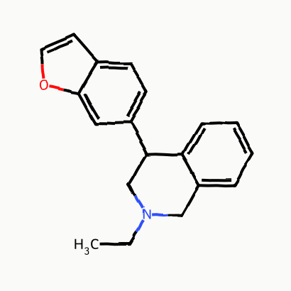 CCN1Cc2ccccc2C(c2ccc3ccoc3c2)C1